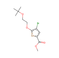 COC(=O)c1cc(Br)c(OCCOC(C)(C)C)s1